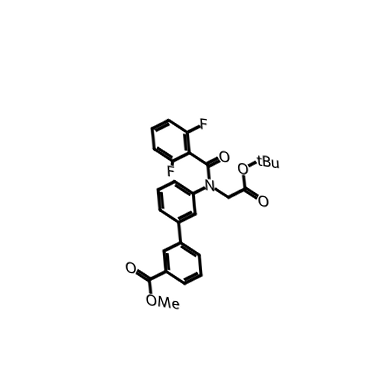 COC(=O)c1cccc(-c2cccc(N(CC(=O)OC(C)(C)C)C(=O)c3c(F)cccc3F)c2)c1